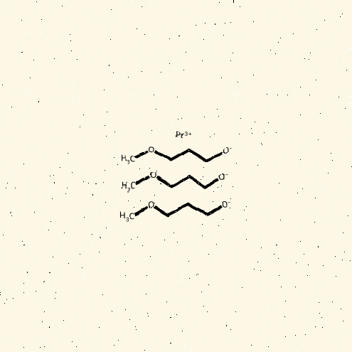 COCCC[O-].COCCC[O-].COCCC[O-].[Pr+3]